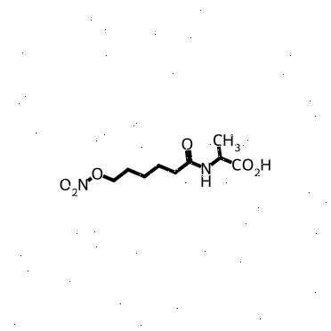 CC(NC(=O)CCCCCO[N+](=O)[O-])C(=O)O